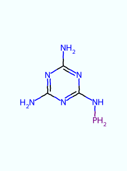 Nc1nc(N)nc(NP)n1